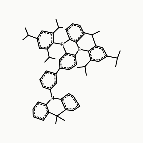 CC(C)c1cc(C(C)C)c(B2c3ccccc3B(c3c(C(C)C)cc(C(C)C)cc3C(C)C)c3cc(-c4cccc(N5c6ccccc6C(C)(C)c6ccccc65)c4)ccc32)c(C(C)C)c1